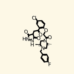 C[C@@H]1CN(Cc2ccc(F)cc2)[C@@H](C)CN1C(=O)COc1ccc(Cl)cc1C(=O)CC1C(=O)NNC1=O